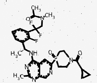 CC(=O)N(C)CC(F)(F)c1cccc([C@@H](C)Nc2nc(C)nc3cnc(P4(=O)CCN(C(=O)C5CC5)CC4)cc23)c1F